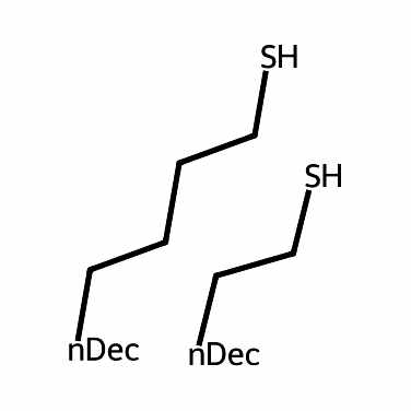 CCCCCCCCCCCCCCS.CCCCCCCCCCCCS